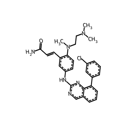 CN(C)CCN(C)c1ccc(Nc2ncc3cccc(-c4cccc(Cl)c4)c3n2)cc1C=CC(N)=O